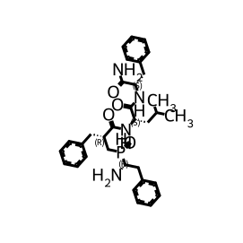 CC(C)C[C@H](NC(=O)[C@@H](Cc1ccccc1)C[PH](=O)[C@@H](N)Cc1ccccc1)C(=O)N[C@@H](Cc1ccccc1)C(N)=O